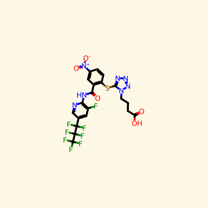 O=C(O)CCCn1nnnc1Sc1ccc([N+](=O)[O-])cc1C(=O)Nc1ncc(C(F)(F)C(F)(F)C(F)(F)F)cc1F